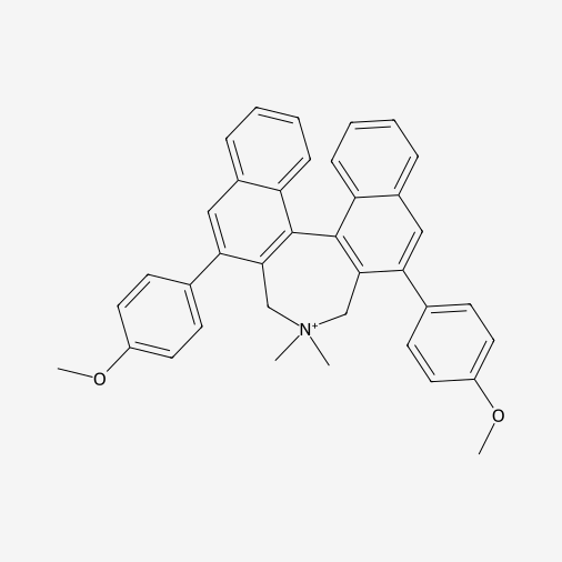 COc1ccc(-c2cc3ccccc3c3c2C[N+](C)(C)Cc2c(-c4ccc(OC)cc4)cc4ccccc4c2-3)cc1